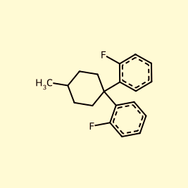 CC1CCC(c2ccccc2F)(c2ccccc2F)CC1